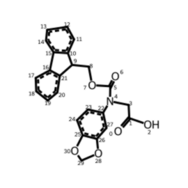 O=C(O)CN(C(=O)OCC1c2ccccc2-c2ccccc21)c1ccc2c(c1)OCO2